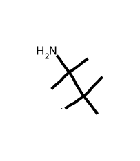 [CH2]C(C)(C)C(C)(C)N